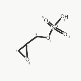 O=S(=O)(O)OCC1CO1